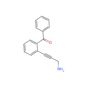 NCC#Cc1ccccc1C(=O)c1ccccc1